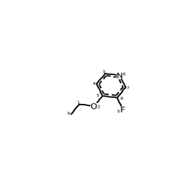 CCOc1ccncc1F